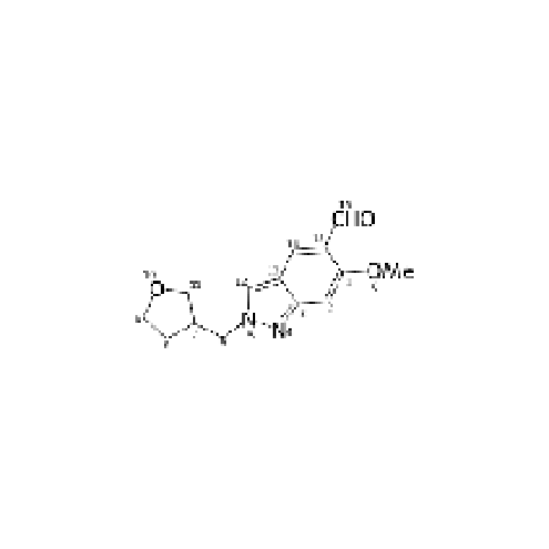 COc1cc2nn(CC3CCOC3)cc2cc1C=O